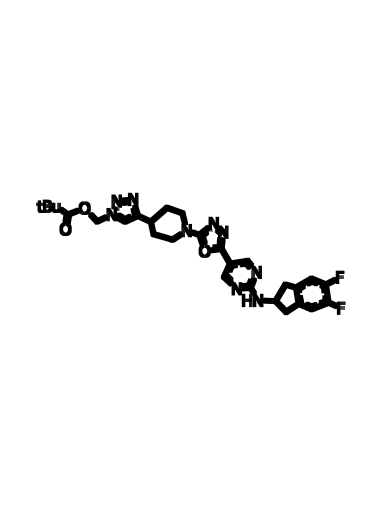 CC(C)(C)C(=O)OCn1cc(C2CCN(c3nnc(-c4cnc(NC5Cc6cc(F)c(F)cc6C5)nc4)o3)CC2)nn1